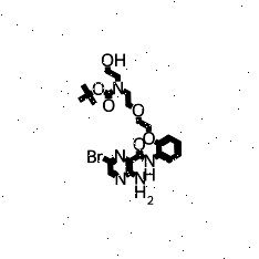 CC(C)(C)OC(=O)N(CCO)CCOCCOc1ccccc1NC(=O)c1nc(Br)cnc1N